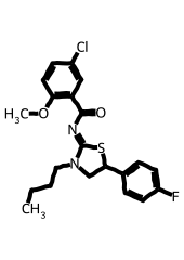 CCCCN1CC(c2ccc(F)cc2)S/C1=N\C(=O)c1cc(Cl)ccc1OC